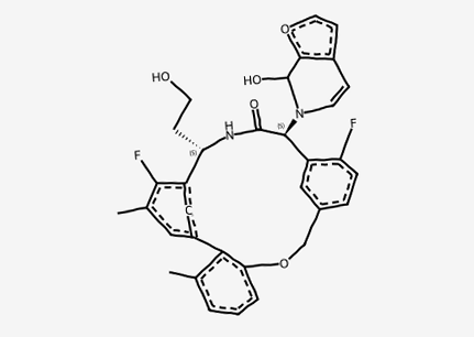 Cc1cc2cc(c1F)[C@H](CCO)NC(=O)[C@@H](N1C=Cc3ccoc3C1O)c1cc(ccc1F)COc1cccc(C)c1-2